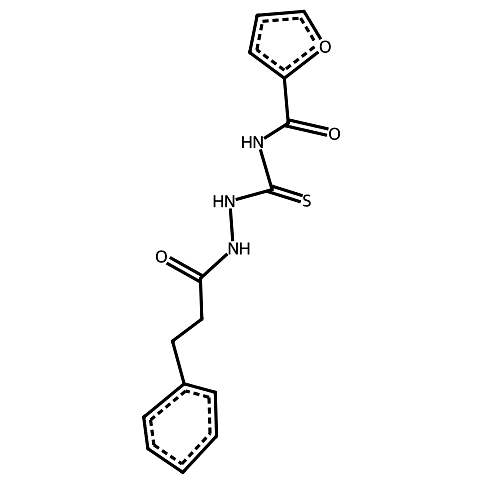 O=C(CCc1ccccc1)NNC(=S)NC(=O)c1ccco1